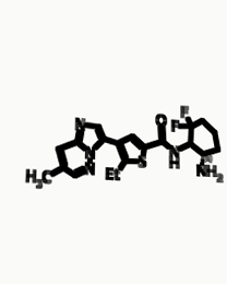 CCc1sc(C(=O)NC2[C@@H](N)CCCC2(F)F)cc1-c1cnc2cc(C)cnn12